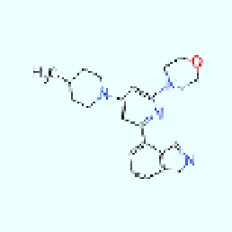 CC1CCN(c2cc(-c3cccc4c3C=NC4)nc(N3CCOCC3)c2)CC1